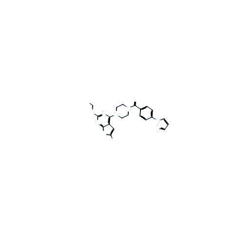 CCc1cc2c(N3CCN(C(=O)c4ccc(-n5cccn5)cc4)CC3)nc(SCC(=O)O)nc2s1